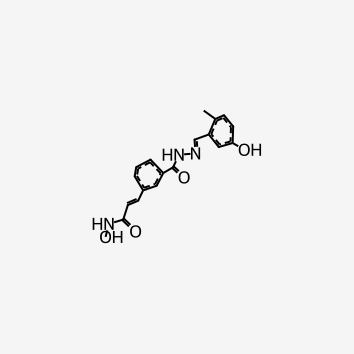 Cc1ccc(O)cc1/C=N/NC(=O)c1cccc(/C=C/C(=O)NO)c1